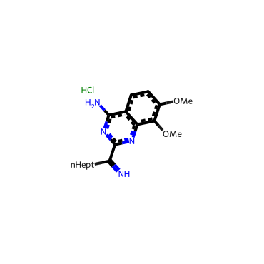 CCCCCCCC(=N)c1nc(N)c2ccc(OC)c(OC)c2n1.Cl